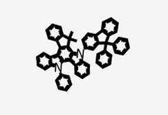 CC1(C)c2ccccc2-c2c1c1c(c3ccccc3n1-c1ccc3c(c1)C(c1ccccc1)(c1ccccc1)c1ccccc1-3)c1c2c2ccccc2n1-c1ccccc1